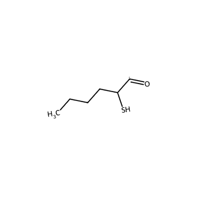 CCCCC(S)[C]=O